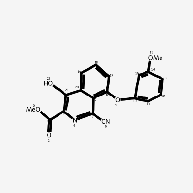 COC(=O)c1nc(C#N)c2c(Oc3cccc(OC)c3)cccc2c1O